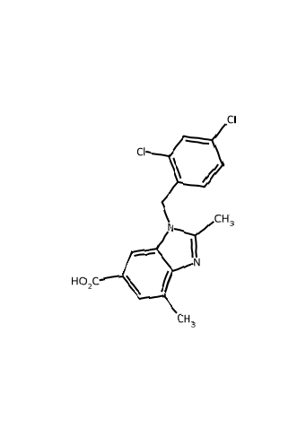 Cc1cc(C(=O)O)cc2c1nc(C)n2Cc1ccc(Cl)cc1Cl